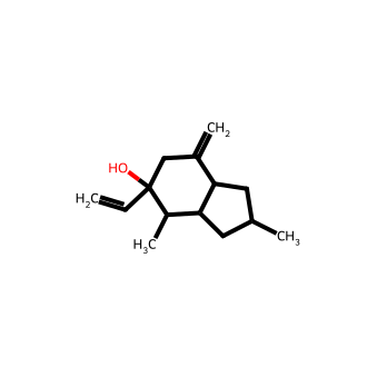 C=CC1(O)CC(=C)C2CC(C)CC2C1C